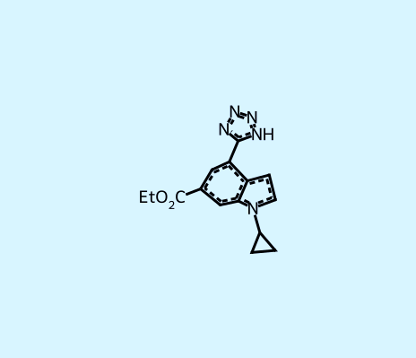 CCOC(=O)c1cc(-c2nnn[nH]2)c2ccn(C3CC3)c2c1